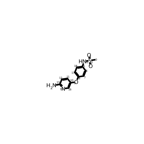 CS(=O)(=O)Nc1ccc(Oc2ccc(N)nc2)cc1